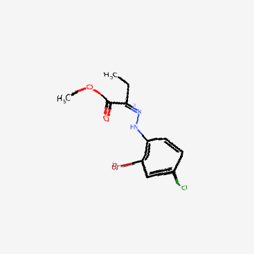 CC/C(=N/Nc1ccc(Cl)cc1Br)C(=O)OC